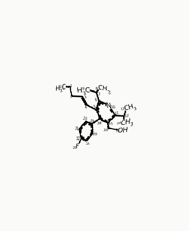 CCCC=Cc1c(C(C)C)nc(C(C)C)c(CO)c1-c1ccc(F)cc1